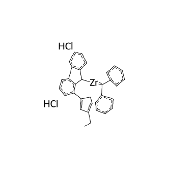 CCC1=CCC(c2cccc3c2[CH]([Zr]=[C](c2ccccc2)c2ccccc2)c2ccccc2-3)=C1.Cl.Cl